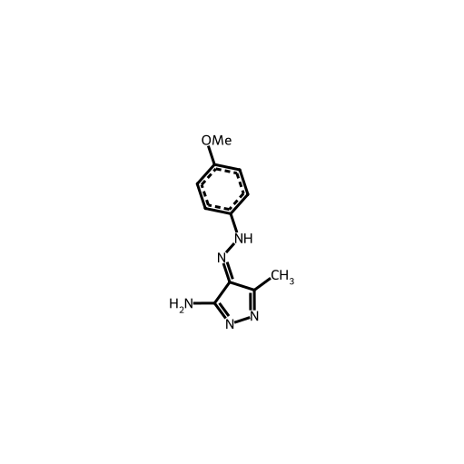 COc1ccc(N/N=C2\C(C)=NN=C2N)cc1